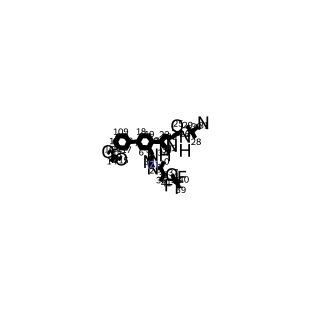 CC(/N=N\Nc1cc(-c2cccc(S(C)(=O)=O)c2)ccc1-c1cc(C(=O)NC(C)(C)C#N)nn1C)C(C)OC(F)(F)F